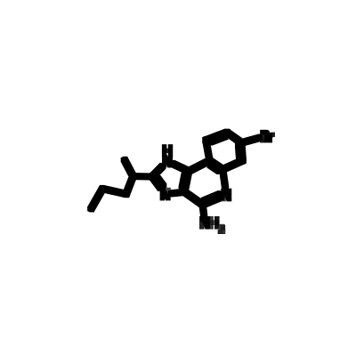 CCCC(C)c1nc2c(N)nc3cc(Br)ccc3c2[nH]1